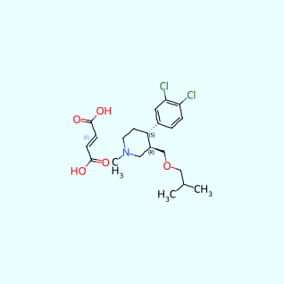 CC(C)COC[C@H]1CN(C)CC[C@@H]1c1ccc(Cl)c(Cl)c1.O=C(O)/C=C/C(=O)O